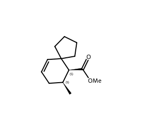 COC(=O)[C@H]1[C@@H](C)CC=CC12CCCC2